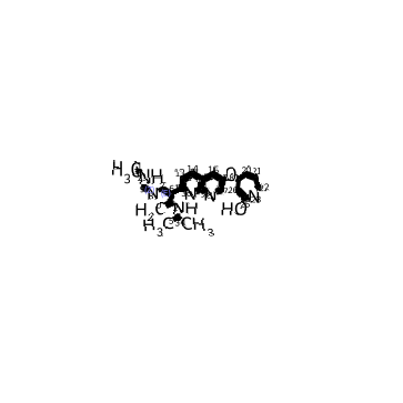 C=C(NC(C)C)/C(=C\N=C/NC)c1ccc2cc(OC3C=CC=NC(O)=C3)cnc2n1